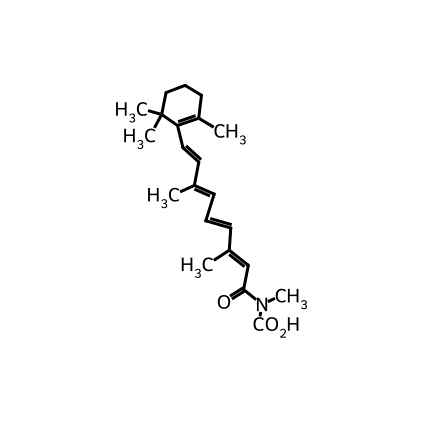 CC1=C(/C=C/C(C)=C/C=C/C(C)=C/C(=O)N(C)C(=O)O)C(C)(C)CCC1